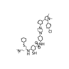 Cc1cc(-c2cccc(N3CCN(c4ccc(NS(=O)(=O)c5ccc(N[C@H](CCN(C)C)CSc6ccccc6)c(S)c5)cc4)CC3)c2)c(-c2ccc(Cl)cc2)n1C